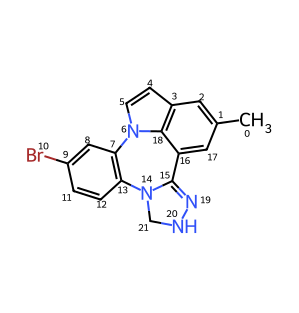 Cc1cc2ccn3c4cc(Br)ccc4n4c(c(c1)c23)=NNC4